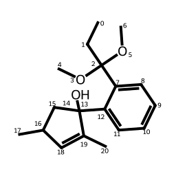 CCC(OC)(OC)c1ccccc1C1(O)CC(C)C=C1C